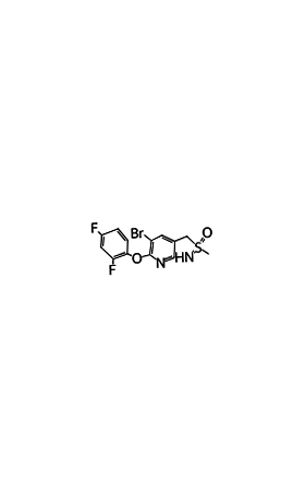 CS(=N)(=O)Cc1cnc(Oc2ccc(F)cc2F)c(Br)c1